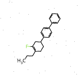 CCCC1=C(F)CC(c2ccc(-c3ccccc3)cc2)CC1